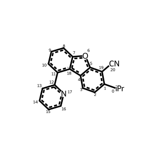 CC(C)c1ccc2c(oc3cccc(-c4ccccn4)c32)c1C#N